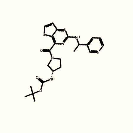 CC(Nc1nc(C(=O)N2CC[C@H](NC(=O)OC(C)(C)C)C2)c2sccc2n1)c1cccnc1